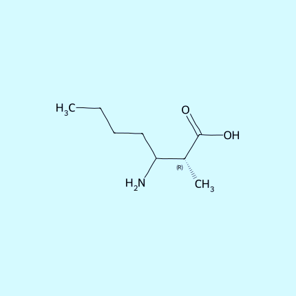 CCCCC(N)[C@@H](C)C(=O)O